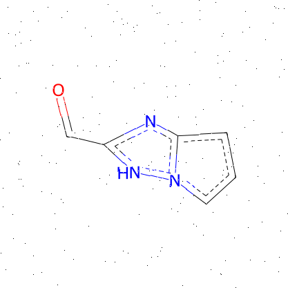 O=Cc1nc2cccn2[nH]1